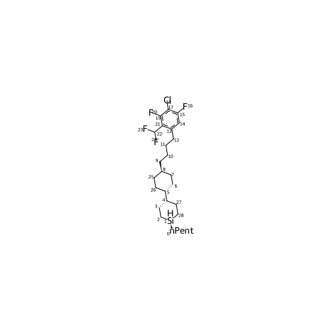 CCCCC[Si@H]1CC[C@H]([C@H]2CC[C@H](CCCCc3cc(F)c(Cl)c(F)c3C(F)F)CC2)CC1